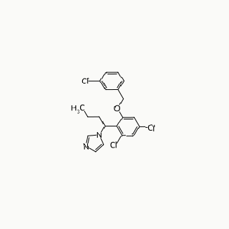 CCCC(c1c(Cl)cc(Cl)cc1OCc1cccc(Cl)c1)n1ccnc1